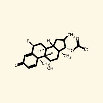 CCC(=O)O[C@H]1C(C)C[C@H]2[C@@H]3C[C@H](F)C4=CC(=O)C=C[C@]4(C)[C@@]3(F)[C@@H](O)C[C@]12C